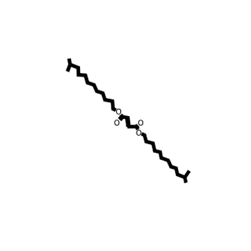 CC(C)CCCCCCCCCCOC(=O)/C=C/C(=O)OCCCCCCCCCCC(C)C